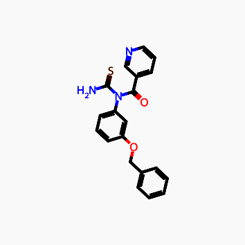 NC(=S)N(C(=O)c1cccnc1)c1cccc(OCc2ccccc2)c1